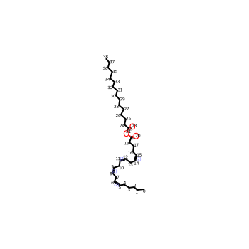 CCCCC/C=C\C/C=C\C/C=C\C/C=C\CCCC(=O)OC(=O)CCCCCCCCCCCCCCC